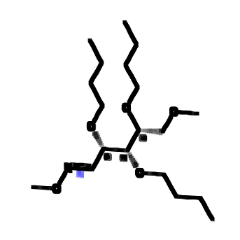 CCCCO[C@H]([C@H](/C=N/OC)OCCCC)[C@@H](COC)OCCCC